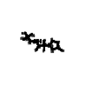 CC1CCN(C(C)(C)C(C)NCC(C)(C)C)C1